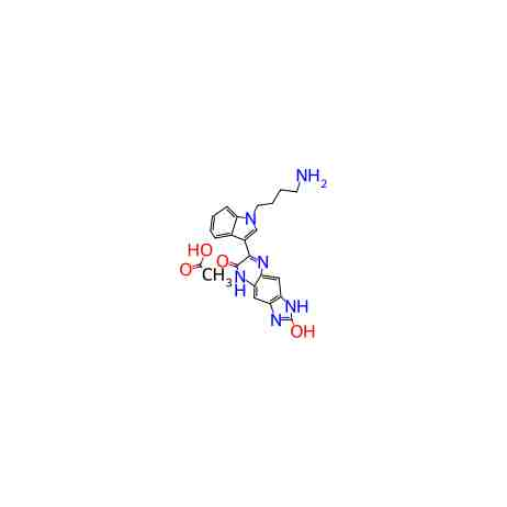 CC(=O)O.NCCCCn1cc(-c2nc3cc4[nH]c(O)nc4cc3[nH]c2=O)c2ccccc21